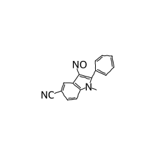 Cn1c(-c2ccccc2)c(N=O)c2cc(C#N)ccc21